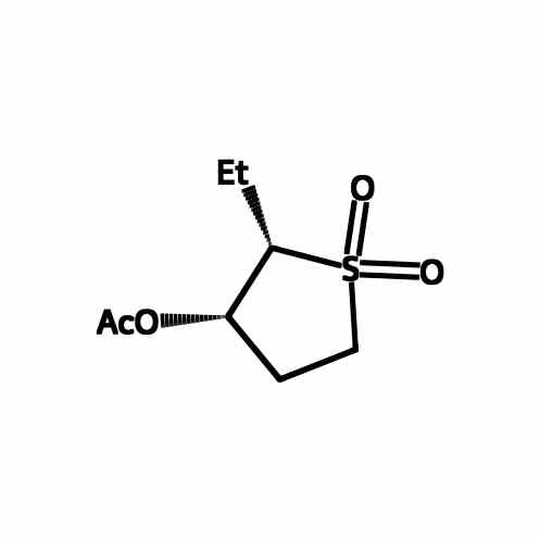 CC[C@H]1[C@@H](OC(C)=O)CCS1(=O)=O